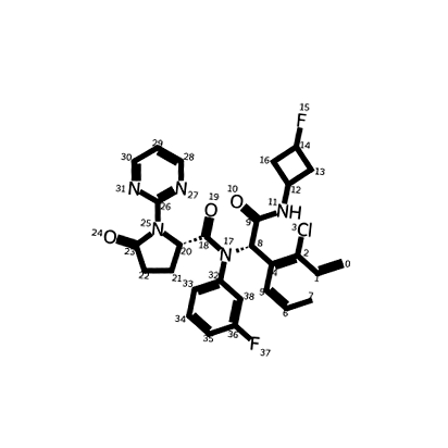 C=C/C(Cl)=C(\C=C/C)[C@@H](C(=O)NC1CC(F)C1)N(C(=O)[C@@H]1CCC(=O)N1c1ncccn1)c1cccc(F)c1